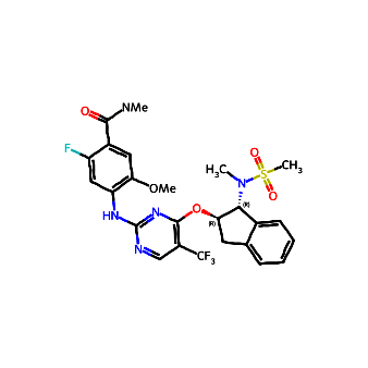 CNC(=O)c1cc(OC)c(Nc2ncc(C(F)(F)F)c(O[C@@H]3Cc4ccccc4[C@H]3N(C)S(C)(=O)=O)n2)cc1F